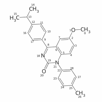 COc1ccc2c(c1)c(-c1ccc(C(C)C)cc1)nc(=O)n2-c1ccc(C)cc1